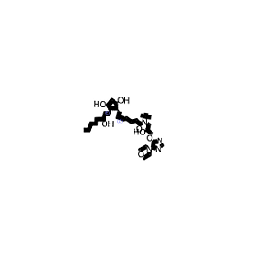 CCCCC[C@H](O)/C=C/[C@@H]1[C@@H](C/C=C\CCCC(=O)N(C[C@H](O)COC2=NCN=C2N2CCOCC2)C(C)(C)C)[C@@H](O)C[C@H]1O